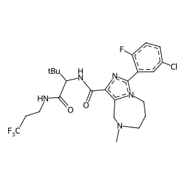 CN1CCCn2c(-c3cc(Cl)ccc3F)nc(C(=O)NC(C(=O)NCCC(F)(F)F)C(C)(C)C)c2C1